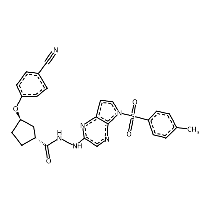 Cc1ccc(S(=O)(=O)n2ccc3nc(NNC(=O)[C@@H]4CC[C@@H](Oc5ccc(C#N)cc5)C4)cnc32)cc1